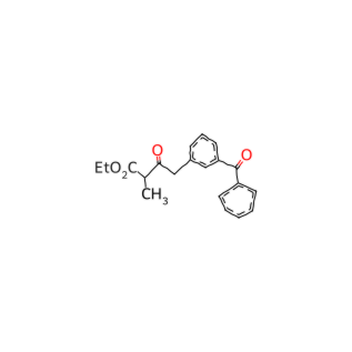 CCOC(=O)C(C)C(=O)Cc1cccc(C(=O)c2ccccc2)c1